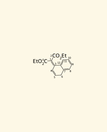 CCOC(=O)C(C(=O)OCC)=C1C=CCc2ccccc21